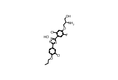 CCCOc1ccc(-c2nnc(-c3cc(F)c(OC[C@H](N)CO)cc3Cl)s2)cc1Cl.Cl